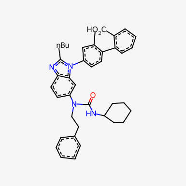 CCCCc1nc2ccc(N(CCc3ccccc3)C(=O)NC3CCCCC3)cc2n1-c1ccc(-c2ccccc2C(=O)O)c(C)c1